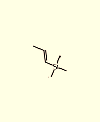 [CH2][Si](C)(C)C=CC